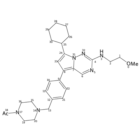 COCCNc1ncc2c(-c3ccc(CN4CCN(C(C)=O)CC4)cc3)cc(C3CCCCC3)n2n1